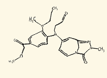 CCN(C)c1cc(C(=O)OC)ccc1N(CC=O)c1ccn2c(=O)n(C)nc2c1